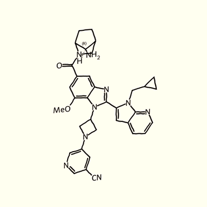 COc1cc(C(=O)N2CC3CCC2[C@@H]3N)cc2nc(-c3cc4cccnc4n3CC3CC3)n(C3CN(c4cncc(C#N)c4)C3)c12